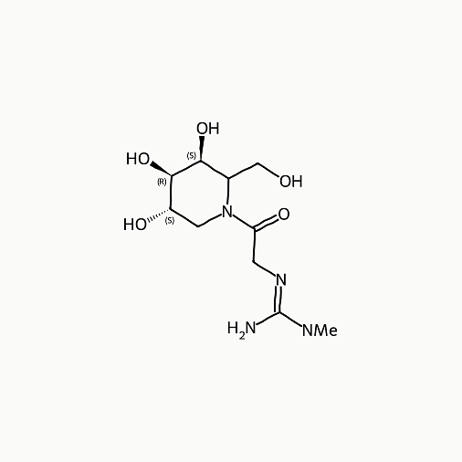 CNC(N)=NCC(=O)N1C[C@H](O)[C@@H](O)[C@@H](O)C1CO